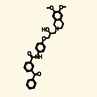 COc1cc2c(cc1OC)CN(CC(O)COc1ccc(NC(=O)c3cccc(C(=O)c4ccccc4)c3)cc1)CC2